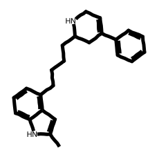 Cc1cc2c(CCCCC3CC(c4ccccc4)=CCN3)cccc2[nH]1